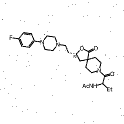 CCC(NC(C)=O)C(=O)N1CCC2(CC1)C[C@H](CCN1CCN(c3ccc(F)cc3)CC1)OC2=O